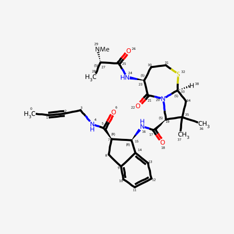 CC#CCNC(=O)[C@@H]1Cc2ccccc2[C@@H]1NC(=O)[C@H]1N2C(=O)[C@@H](NC(=O)[C@H](C)NC)CCS[C@H]2CC1(C)C